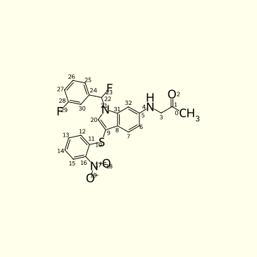 CC(=O)CNc1ccc2c(Sc3ccccc3[N+](=O)[O-])cn(C(F)c3cccc(F)c3)c2c1